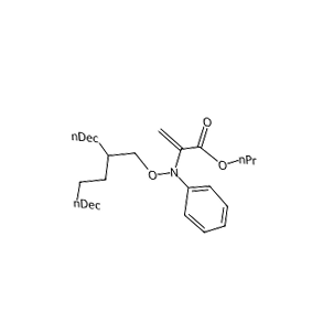 C=C(C(=O)OCCC)N(OCC(CCCCCCCCCC)CCCCCCCCCCCC)c1ccccc1